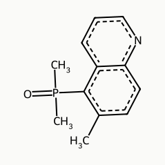 Cc1ccc2ncccc2c1P(C)(C)=O